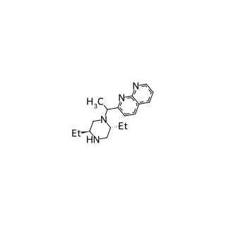 CC[C@H]1CN(C(C)c2ccc3cccnc3n2)[C@H](CC)CN1